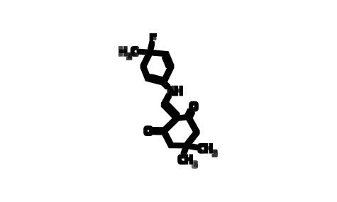 CC1(F)C=CC(NC=C2C(=O)CC(C)(C)CC2=O)=CC1